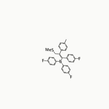 CSC/C(=C(\B(c1ccc(F)cc1)c1ccc(F)cc1)c1ccc(F)cc1)c1ccc(C)cc1